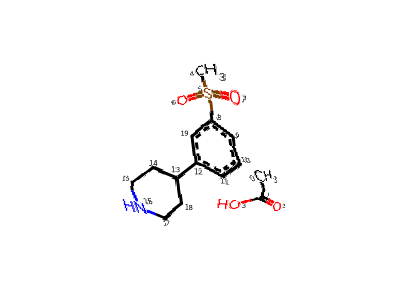 CC(=O)O.CS(=O)(=O)c1cccc(C2CCNCC2)c1